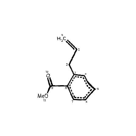 C=CCc1ccccc1C(=O)OC